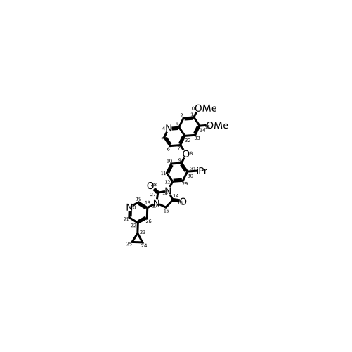 COc1cc2nccc(Oc3ccc(N4C(=O)CN(c5cncc(C6CC6)c5)C4=O)cc3C(C)C)c2cc1OC